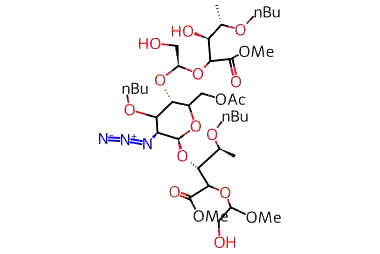 CCCCOC1[C@H](O[C@@H](CO)OC(C(=O)OC)[C@@H](O)[C@H](C)OCCCC)C(COC(C)=O)O[C@@H](O[C@@H](C(OC(CO)OC)C(=O)OC)[C@H](C)OCCCC)[C@H]1N=[N+]=[N-]